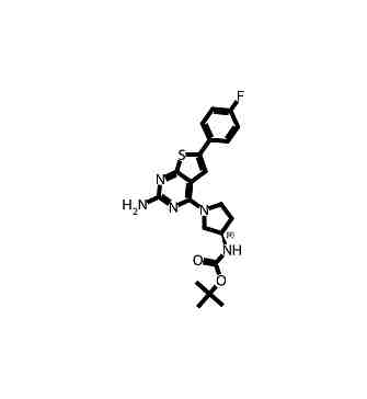 CC(C)(C)OC(=O)N[C@@H]1CCN(c2nc(N)nc3sc(-c4ccc(F)cc4)cc23)C1